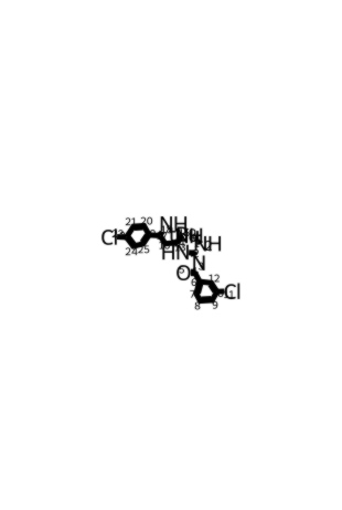 CC(C)(C)N/C(=N/C(=O)c1cccc(Cl)c1)NC(N)CC(N)c1ccc(Cl)cc1